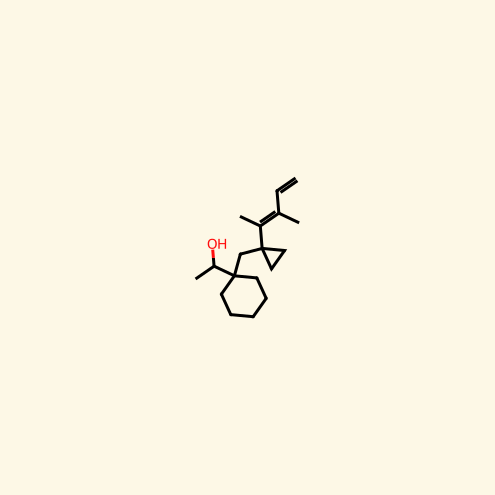 C=C/C(C)=C(\C)C1(CC2(C(C)O)CCCCC2)CC1